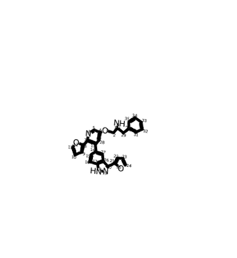 N[C@H](COc1cnc(-c2ccco2)c(-c2ccc3[nH]nc(-c4ccco4)c3c2)c1)Cc1ccccc1